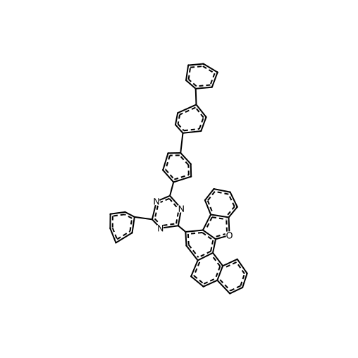 c1ccc(-c2ccc(-c3ccc(-c4nc(-c5ccccc5)nc(-c5cc6ccc7ccccc7c6c6oc7ccccc7c56)n4)cc3)cc2)cc1